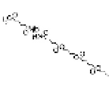 COCCCCOC(=O)CCCCC(=O)OCCCCOC(=O)CCCCC(=O)NCCNC(=O)CCCCC(C)=O